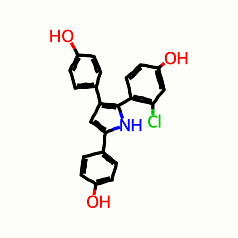 Oc1ccc(-c2cc(-c3ccc(O)cc3)c(-c3ccc(O)cc3Cl)[nH]2)cc1